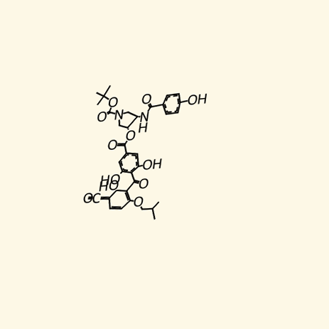 CC(C)COC1=C(C(=O)c2c(O)cc(C(=O)O[C@@H]3CN(C(=O)OC(C)(C)C)C[C@H]3NC(=O)c3ccc(O)cc3)cc2O)C(O)C(=C=O)C=C1